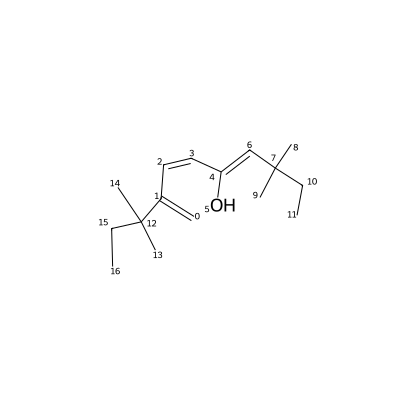 C=C(/C=C\C(O)=C\C(C)(C)CC)C(C)(C)CC